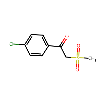 CS(=O)(=O)CC(=O)c1ccc(Cl)cc1